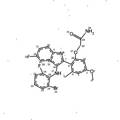 COc1cc(C)c(-c2nc3ccc(F)cn3c2Nc2c(F)cccc2Br)c(OCC(N)=O)c1